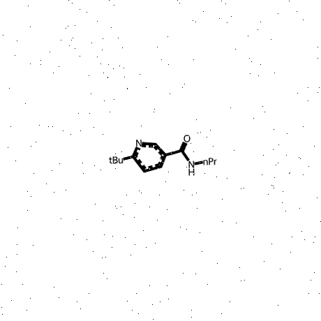 CCCNC(=O)c1ccc(C(C)(C)C)nc1